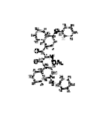 CC(=O)ON=C(C(=O)c1ccc(Sc2ccccc2)c2ccccc12)C(=O)c1ccc(Sc2ccccc2)c2ccccc12